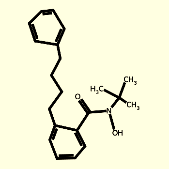 CC(C)(C)N(O)C(=O)c1ccccc1CCCCc1ccccc1